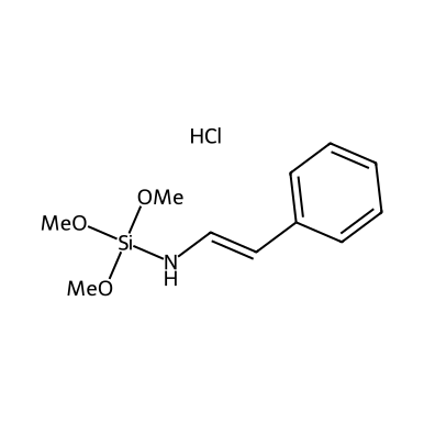 CO[Si](NC=Cc1ccccc1)(OC)OC.Cl